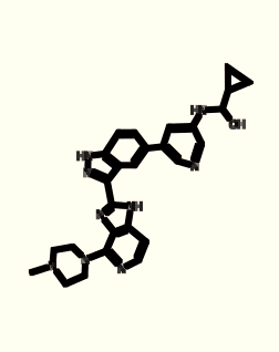 CN1CCN(c2nccc3[nH]c(-c4n[nH]c5ccc(-c6cncc(NC(O)C7CC7)c6)cc45)nc23)CC1